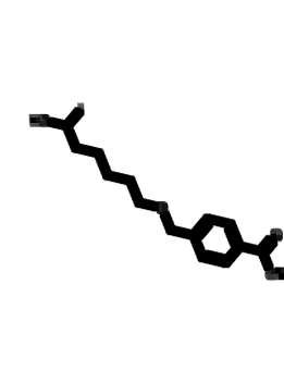 COC(=O)c1ccc(COCCCCCC(O)I)cc1